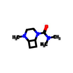 CN(C)C(=O)N1CCN(C)C2CCC21